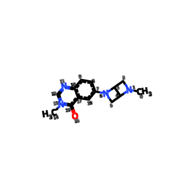 CN1CC2C1CN2c1ccc2ncn(C)c(=O)c2c1